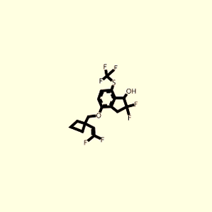 OC1c2c(SC(F)(F)F)ccc(OCC3(C=C(F)F)CCC3)c2CC1(F)F